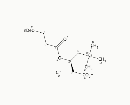 CCCCCCCCCCCCC(=O)O[C@H](CC(=O)O)C[N+](C)(C)C.[Cl-]